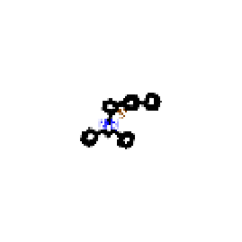 c1ccc(-c2ccc3c(c2)sc2c(-c4nc(-c5ccccc5)cc(-c5ccccc5)n4)cccc23)cc1